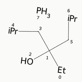 CCC(O)(CC(C)C)CC(C)C.P